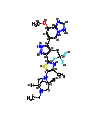 CCN1C[C@@H]2C[C@H]1CN2c1sc(-c2n[nH]c(-c3cc(OC)c4ncnn4c3)c2CC(F)(F)F)nc1C